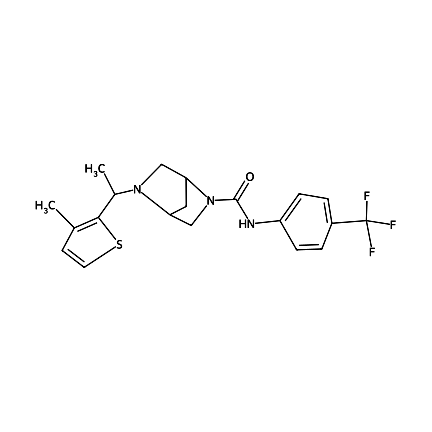 Cc1ccsc1C(C)N1CC2CC1CN2C(=O)Nc1ccc(C(F)(F)F)cc1